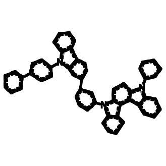 c1ccc(-c2ccc(-n3c4ccccc4c4ccc(-c5cccc(-n6c7ccccc7c7c8c9ccccc9n(-c9ccccc9)c8ccc76)c5)cc43)cc2)cc1